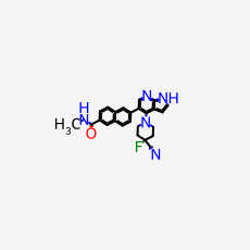 CNC(=O)c1ccc2cc(-c3cnc4[nH]ccc4c3N3CCC(F)(C#N)CC3)ccc2c1